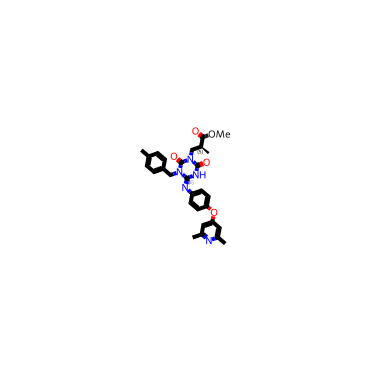 COC(=O)[C@@H](C)Cn1c(=O)[nH]/c(=N\c2ccc(Oc3cc(C)nc(C)c3)cc2)n(Cc2ccc(C)cc2)c1=O